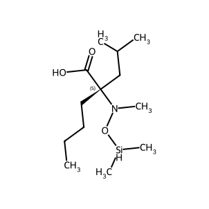 CCCC[C@](CC(C)C)(C(=O)O)N(C)O[SiH](C)C